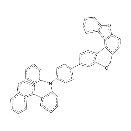 c1ccc(N(c2ccc(-c3ccc4c(c3)OCc3ccc5oc6ccccc6c5c3-4)cc2)c2ccccc2-c2cccc3ccccc23)cc1